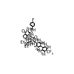 [2H]c1c([2H])c(C(F)(F)F)c([2H])c([2H])c1-c1c([2H])c([2H])c(C([2H])([2H])N(C(=O)C([2H])([2H])n2c(SC([2H])([2H])c3ccc(F)cc3)nc(=O)c3c2CCC3)C([2H])([2H])C([2H])([2H])N(CC)CC)c(C)c1[2H]